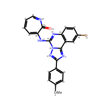 COc1ccc(-c2nc3c4cc(Br)ccc4nc(Nc4ccccnc4=O)n3n2)cc1